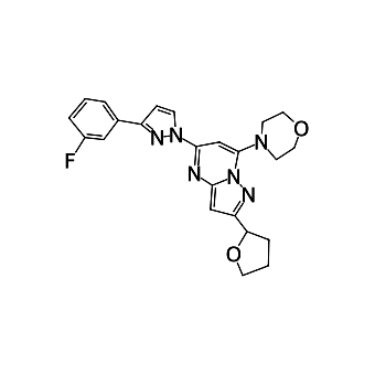 Fc1cccc(-c2ccn(-c3cc(N4CCOCC4)n4nc(C5CCCO5)cc4n3)n2)c1